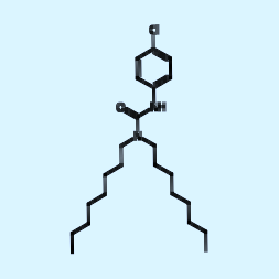 CCCCCCCCN(CCCCCCCC)C(=O)Nc1ccc(Cl)cc1